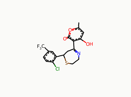 Cc1cc(O)c(C2=NCCSC(c3cc(C(F)(F)F)ccc3Cl)C2)c(=O)o1